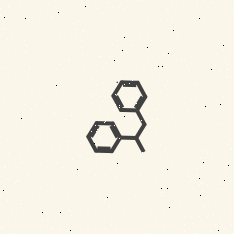 CC(Cc1cc[c]cc1)c1ccccc1